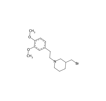 COc1ccc(CCN2CCCC(CBr)C2)cc1OC